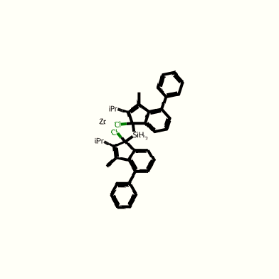 CC1=C(C(C)C)C(Cl)([SiH2]C2(Cl)C(C(C)C)=C(C)c3c(-c4ccccc4)cccc32)c2cccc(-c3ccccc3)c21.[Zr]